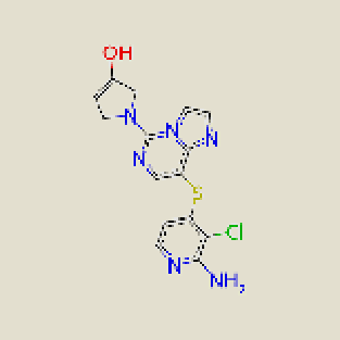 Nc1nccc(Sc2cnc(N3CC=C(O)C3)n3ccnc23)c1Cl